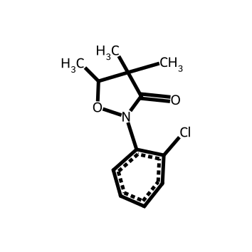 CC1ON(c2ccccc2Cl)C(=O)C1(C)C